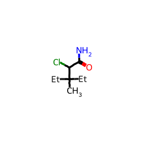 CCC(C)(CC)C(Cl)C(N)=O